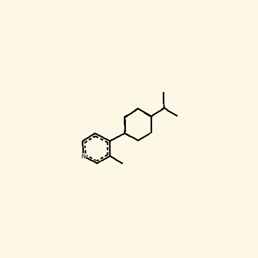 Cc1cnccc1C1CCC(C(C)C)CC1